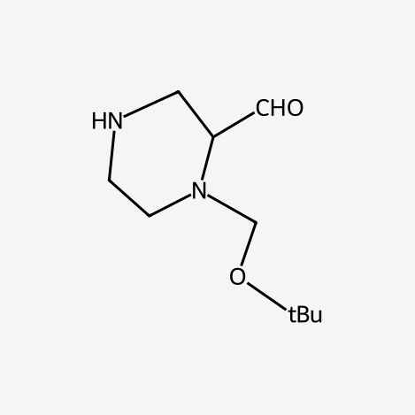 CC(C)(C)OCN1CCNCC1C=O